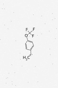 C=[C]c1ccc(OC(F)(F)F)cc1